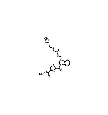 COCCOCC(=O)OCn1cc(C(=O)c2nc(C(=O)OC)cs2)c2ccccc21